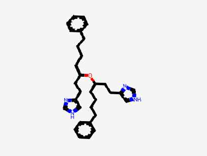 c1ccc(CCCCC(CCc2c[nH]cn2)OC(CCCCc2ccccc2)CCc2c[nH]cn2)cc1